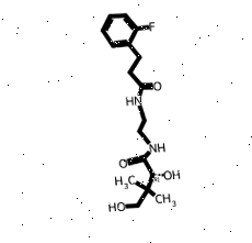 CC(C)(CO)[C@@H](O)C(=O)NCCNC(=O)CCc1ccccc1F